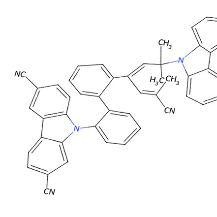 C/C(C#N)=C\C(=C/C(C)(C)n1c2ccccc2c2ccccc21)c1ccccc1-c1ccccc1-n1c2ccc(C#N)cc2c2ccc(C#N)cc21